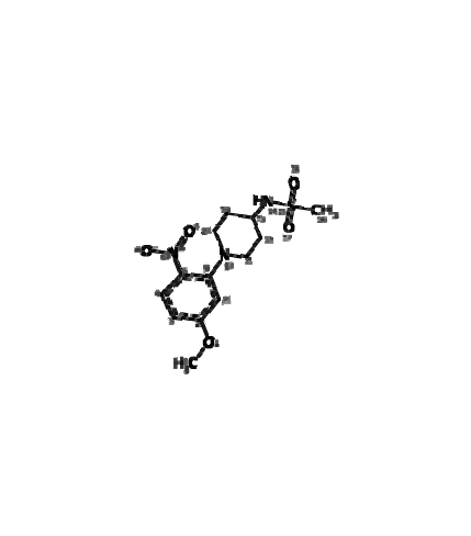 COc1ccc([N+](=O)[O-])c(N2CCC(NS(C)(=O)=O)CC2)c1